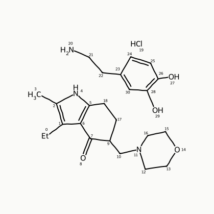 CCc1c(C)[nH]c2c1C(=O)C(CN1CCOCC1)CC2.Cl.NCCc1ccc(O)c(O)c1